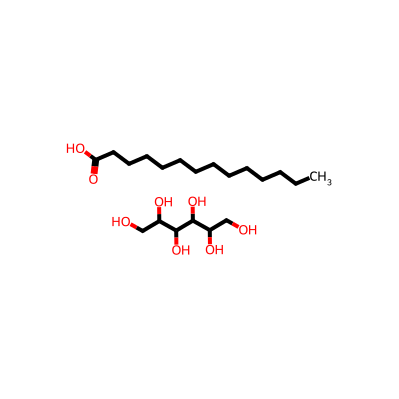 CCCCCCCCCCCCCC(=O)O.OCC(O)C(O)C(O)C(O)CO